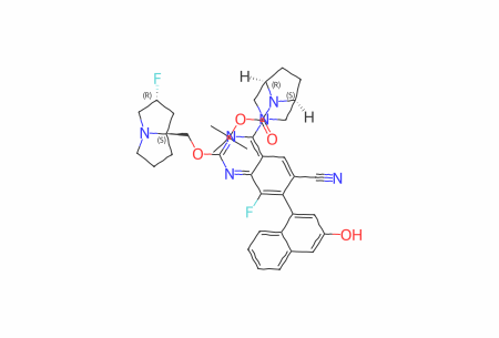 CC(C)(C)OC(=O)N1[C@@H]2CC[C@H]1CN(c1nc(OC[C@@]34CCCN3C[C@H](F)C4)nc3c(F)c(-c4cc(O)cc5ccccc45)c(C#N)cc13)C2